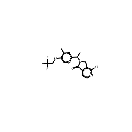 Cc1cc(C(C)N2Cc3c(ccnc3Cl)C2=O)ncc1OCC(C)(F)F